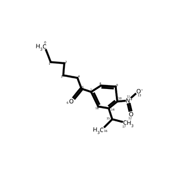 CCCCCC(=O)c1ccc([N+](=O)[O-])c(C(C)C)c1